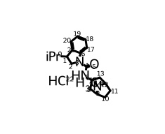 CC(C)C1CN(C(=O)NC2CC3CCC(C2)N3C)c2ccccc21.Cl